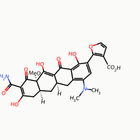 CO[C@@]12C(=O)C(C(N)=O)=C(O)C[C@@H]1C[C@@H]1Cc3c(N(C)C)cc(-c4occc4C(=O)O)c(O)c3C(=O)C1=C2O